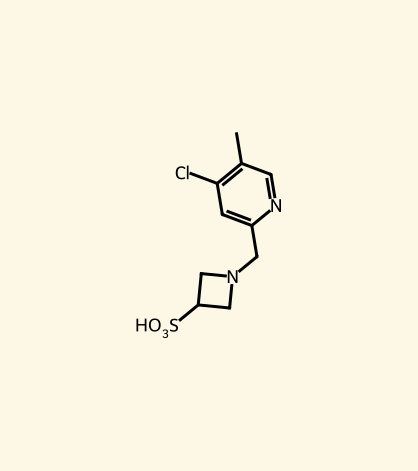 Cc1cnc(CN2CC(S(=O)(=O)O)C2)cc1Cl